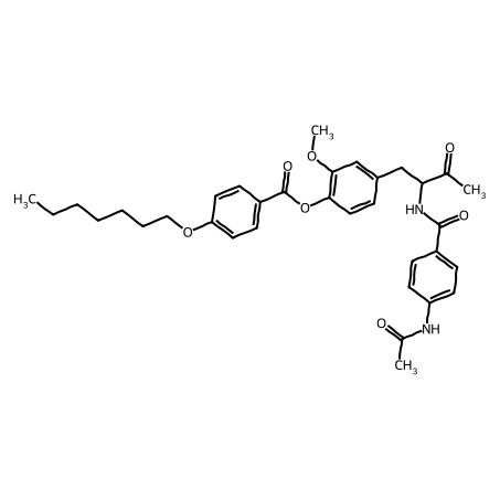 CCCCCCCOc1ccc(C(=O)Oc2ccc(CC(NC(=O)c3ccc(NC(C)=O)cc3)C(C)=O)cc2OC)cc1